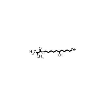 C=C(C)C(=O)OCCCCCC(O)CCCCO